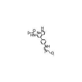 COCCN(C)SNc1ccc(-c2cc(NC(=O)C3CC3)nc3[nH]ccc23)cc1